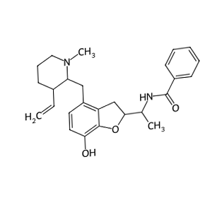 C=CC1CCCN(C)C1Cc1ccc(O)c2c1CC(C(C)NC(=O)c1ccccc1)O2